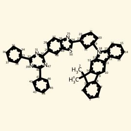 CC1(C)c2ccccc2-c2cc3c4ccccc4n(-c4cccc(-c5nc6ccc(-c7nc(-c8ccccc8)nc(-c8ccccc8)n7)cc6s5)c4)c3cc21